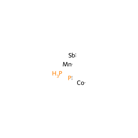 P.[Co].[Mn].[P].[Sb]